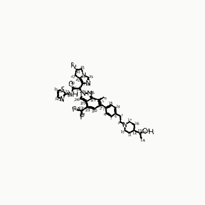 Cc1c(-c2ccc(CCN3CCC(C(C)O)CC3)cc2)cc(C(F)F)c2cn(C(C(=O)Nc3nccs3)c3ncn4c3C[C@@H](F)C4)nc12